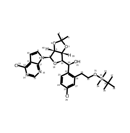 CC1(C)O[C@H]2[C@@H](O1)[C@H](n1ccc3c(Cl)ncnc31)O[C@@H]2[C@@H](O)c1ccc(Cl)cc1CCO[Si](C)(C)C(C)(C)C